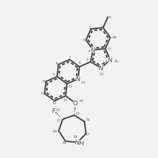 Cc1ccn2c(-c3ccc4cccc(O[C@@H]5CCNCC[C@@H]5F)c4n3)nnc2c1